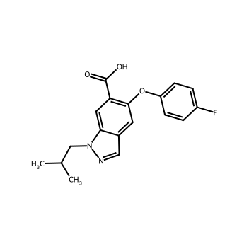 CC(C)Cn1ncc2cc(Oc3ccc(F)cc3)c(C(=O)O)cc21